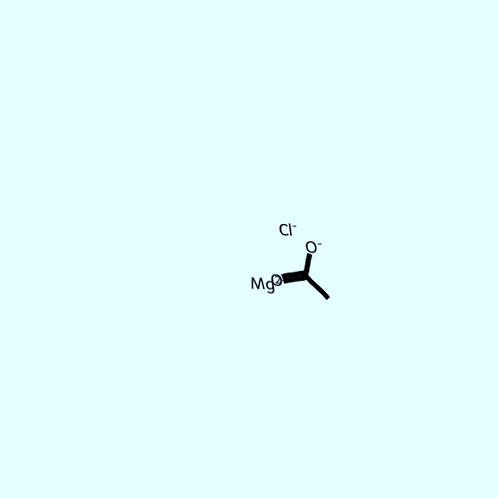 CC(=O)[O-].[Cl-].[Mg+2]